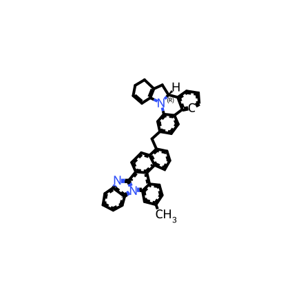 Cc1ccc2c3c4cccc(Cc5ccc6c(c5)N5C7=C(CCC=C7)C[C@@H]5c5ccccc5-6)c4ccc3c3nc4ccccc4n3c2c1